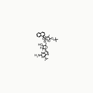 C[C@H](NP(=S)(OC[C@H]1O[C@@H](n2cnc3c(N(C)C)nc(N)nc32)[C@](C)(F)[C@@H]1O)Oc1cccc2ccccc12)C(=O)OCC(C)(C)C